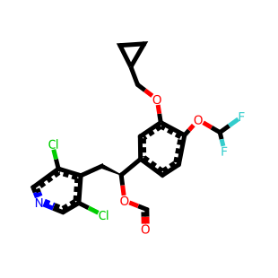 O=CO[C@@H](Cc1c(Cl)cncc1Cl)c1ccc(OC(F)F)c(OCC2CC2)c1